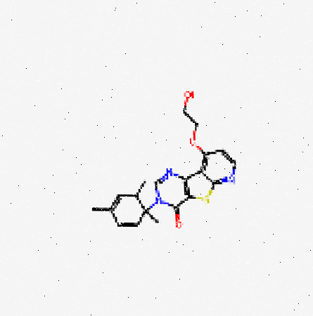 CC1=CC(C)C(C)(n2cnc3c(sc4nccc(OCCO)c43)c2=O)C=C1